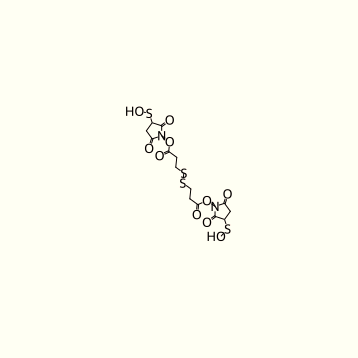 O=C(CCSSCCC(=O)ON1C(=O)CC(SO)C1=O)ON1C(=O)CC(SO)C1=O